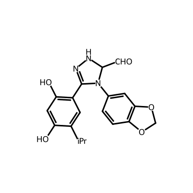 CC(C)c1cc(C2=NNC(C=O)N2c2ccc3c(c2)OCO3)c(O)cc1O